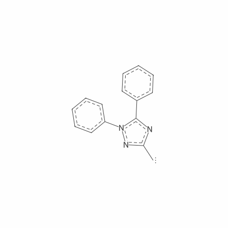 [C]c1nc(-c2ccccc2)n(-c2ccccc2)n1